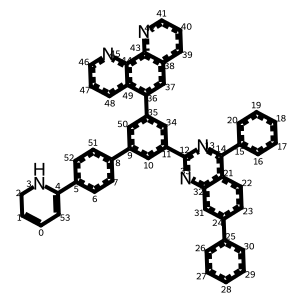 C1=CCNC(c2ccc(-c3cc(-c4nc(-c5ccccc5)c5ccc(-c6ccccc6)cc5n4)cc(-c4cc5cccnc5c5ncccc45)c3)cc2)=C1